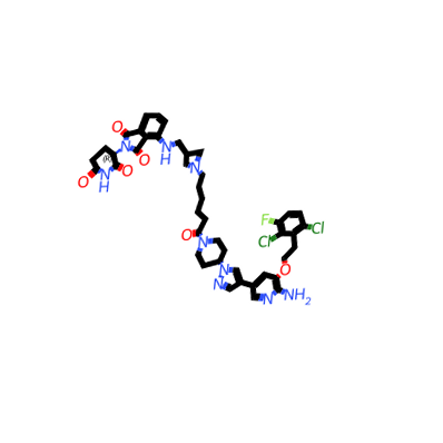 Nc1ncc(-c2cnn(C3CCN(C(=O)CCCCCN4CC(CNc5cccc6c5C(=O)N([C@@H]5CCC(=O)NC5=O)C6=O)C4)CC3)c2)cc1OCCc1c(Cl)ccc(F)c1Cl